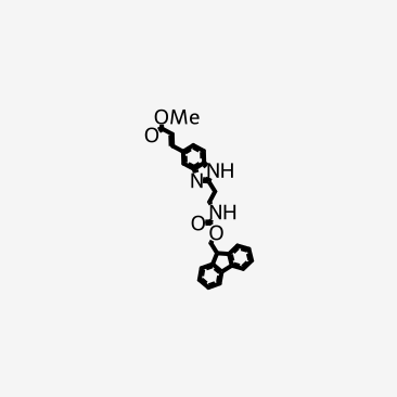 COC(=O)C=Cc1ccc2[nH]c(CCNC(=O)OCC3c4ccccc4-c4ccccc43)nc2c1